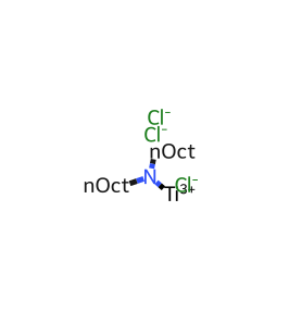 CCCCCCCC[N]([Ti+3])CCCCCCCC.[Cl-].[Cl-].[Cl-]